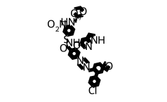 O=C(NSc1ccc(NC[C@@H]2COCCO2)c([N+](=O)[O-])c1)c1ccc(N2CCN(CC3=C(c4ccc(Cl)cc4)CC4(CC3)COC4)CC2)cc1Oc1cnc2[nH]ccc2c1